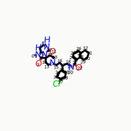 CNC(=O)C1(N2CCCNC2=O)CCN(CCC(CN(C)C(=O)c2cccc3c2CCCC3)c2ccc(Cl)cc2)CC1